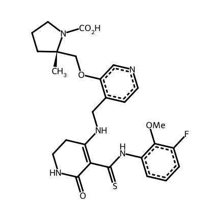 COc1c(F)cccc1NC(=S)C1=C(NCc2ccncc2OC[C@]2(C)CCCN2C(=O)O)CCNC1=O